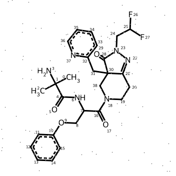 CC(C)(N)C(=O)NC(COc1ccccc1)C(=O)N1CCC2=NN(CC(F)F)C(=O)C2(Cc2ccccn2)C1